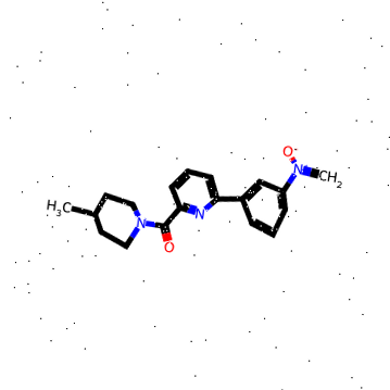 C=[N+]([O-])c1cccc(-c2cccc(C(=O)N3CCC(C)CC3)n2)c1